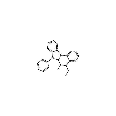 CCC1c2ccccc2N2c3ccccc3N(c3ccccc3)C2C1C